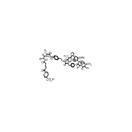 CC[C@H](C)[C@@H]([C@@H](CC(=O)N1CCC[C@H]1[C@H](OC)[C@@H](C)C(=O)N[C@@H](Cc1ccccc1)C(=O)NOCc1ccc(NC(=O)[C@@H](C)NC(=O)C(NC(=O)CCCC(=O)N2CCC(C(=O)O)CC2)C(C)C)cc1)OC)N(C)C(=O)[C@@H](NC(=O)C(C(C)C)N(C)C)C(C)C